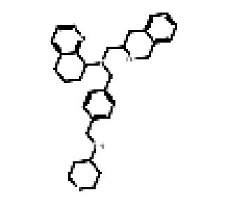 c1ccc2c(c1)CNC(CN(Cc1ccc(CNC3CCOCC3)cc1)C1CCCc3cccnc31)C2